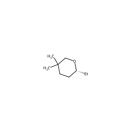 CC[C@@H]1CCC(C)(C)CO1